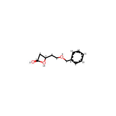 O=C1CC(CCOCc2ccccc2)O1